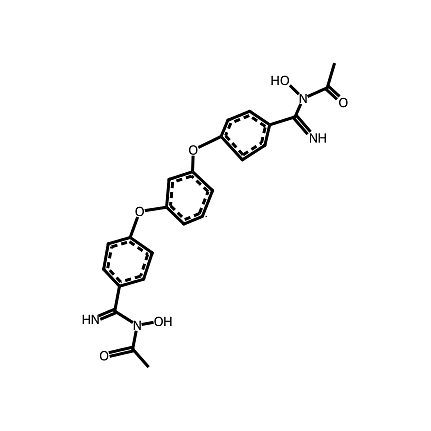 CC(=O)N(O)C(=N)c1ccc(Oc2c[c]cc(Oc3ccc(C(=N)N(O)C(C)=O)cc3)c2)cc1